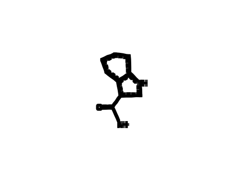 [NH]C(=O)c1c[nH]c2ccccc12